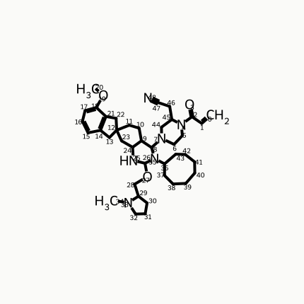 C=CC(=O)N1CCN(C2C3CCC4(Cc5cccc(OC)c5C4)CC3NC(OCC3CCCN3C)N2C2CCCCCCC2)CC1CC#N